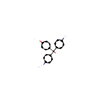 Nc1ccc(C(O)(c2ccc(N)cc2)c2ccc(O)cc2)cc1